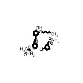 CC(C)(C)OC=O.CCCCCNc1cc(-c2c3c4ccccc4n2-3)ccc1Cl.NS(=O)(=O)Cc1cccc(Cl)c1